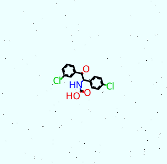 O=C(O)N[C@@H](C(=O)c1cccc(Cl)c1)c1ccc(Cl)cc1